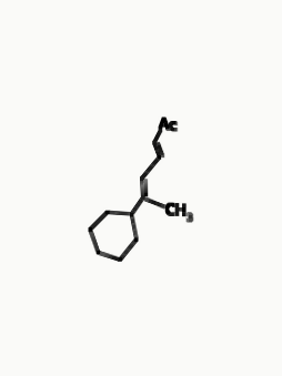 CC(=O)C=CC=C(C)C1CCCCC1